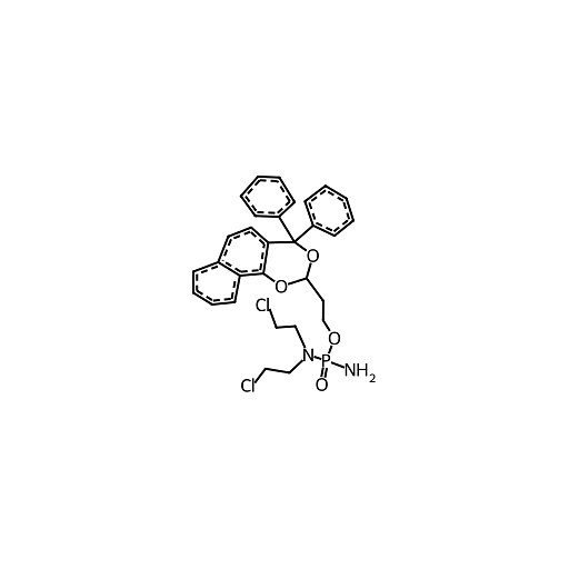 NP(=O)(OCCC1Oc2c(ccc3ccccc23)C(c2ccccc2)(c2ccccc2)O1)N(CCCl)CCCl